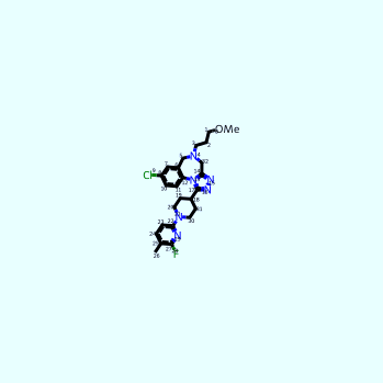 COCCCN1Cc2cc(Cl)ccc2-n2c(nnc2C2CCN(c3ccc(C)c(F)n3)CC2)C1